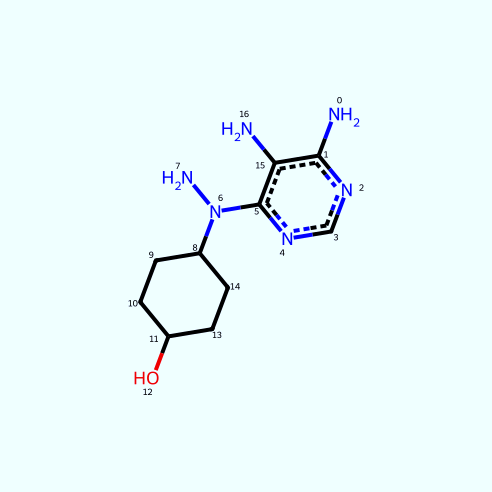 Nc1ncnc(N(N)C2CCC(O)CC2)c1N